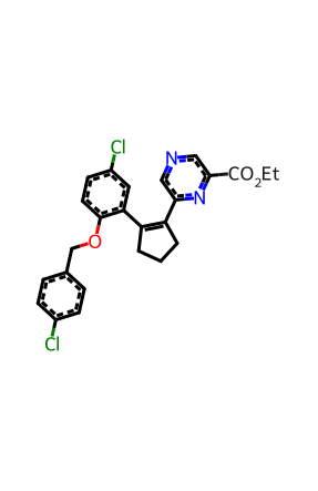 CCOC(=O)c1cncc(C2=C(c3cc(Cl)ccc3OCc3ccc(Cl)cc3)CCC2)n1